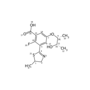 CC1CN=C(c2cc(O[C@H](C)[C@H](C)O)cc(C(=O)O)c2F)S1